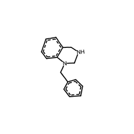 c1ccc(CN2CNCc3ccccc32)cc1